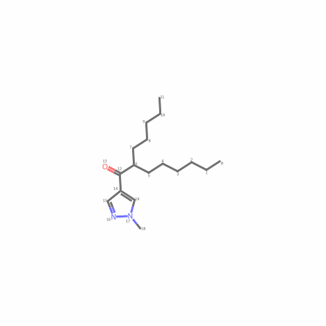 CCCCCCC(CCCCC)C(=O)c1cnn(C)c1